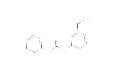 N=Cc1cccc(NC(=O)Nc2ccccc2)c1